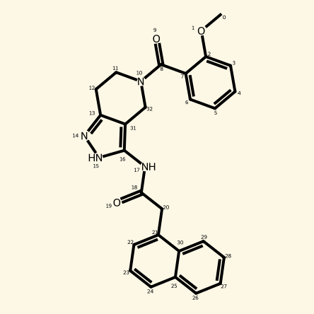 COc1ccccc1C(=O)N1CCc2n[nH]c(NC(=O)Cc3cccc4ccccc34)c2C1